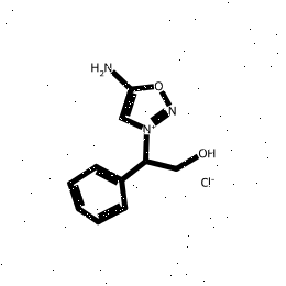 Nc1c[n+](C(CO)c2ccccc2)no1.[Cl-]